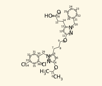 CC(C)Oc1cc(CCCOc2cc(CCC(=O)O)n(Cc3ccccc3)n2)n(Cc2ccc(Cl)cc2Cl)n1